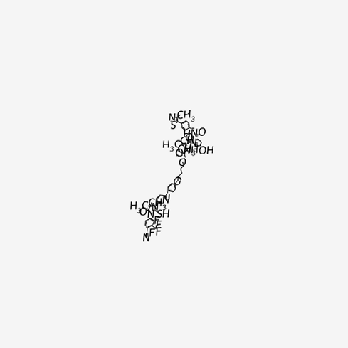 Cc1ncsc1-c1ccc(CNC(=O)[C@@H]2C[C@H](O)CN2C(=O)[C@@H](NC(=O)COCCCCOc2ccc(-c3ccc(N4C(S)N(c5ccc(C#N)c(C(F)(F)F)c5F)C(=O)C4(C)C)cn3)cc2)C(C)(C)C)cc1